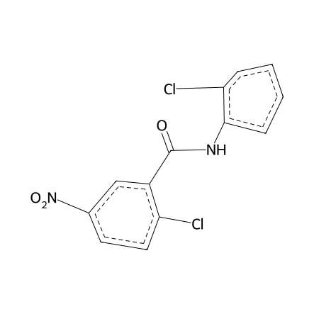 O=C(Nc1ccccc1Cl)c1cc([N+](=O)[O-])ccc1Cl